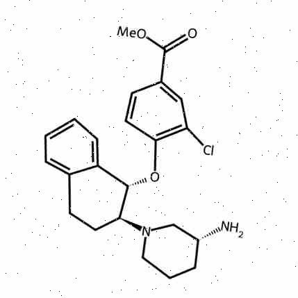 COC(=O)c1ccc(O[C@H]2c3ccccc3CC[C@@H]2N2CCC[C@@H](N)C2)c(Cl)c1